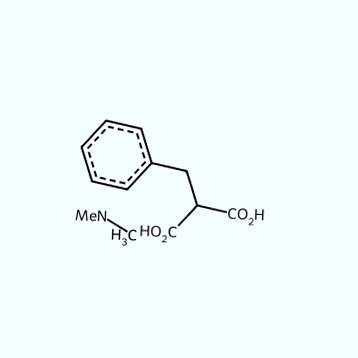 CNC.O=C(O)C(Cc1ccccc1)C(=O)O